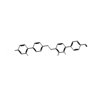 C=Cc1ccc(-c2ccc(CCc3ccc(-c4ccc(OC)cc4F)cc3)c(F)c2F)cc1